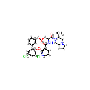 CC1CN2CCCC2CN1C(=O)C(COCc1ccccc1)NC(=O)c1cccnc1Oc1ccc(Cl)cc1Cl